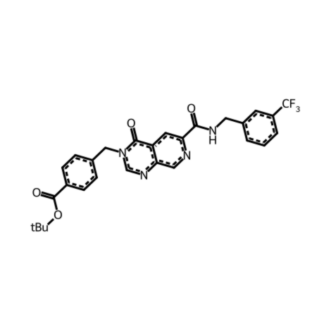 CC(C)(C)OC(=O)c1ccc(Cn2cnc3cnc(C(=O)NCc4cccc(C(F)(F)F)c4)cc3c2=O)cc1